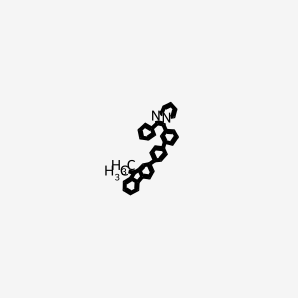 CC1(C)c2ccccc2-c2ccc(-c3ccc(-c4cccc(-c5c(-c6ccccc6)nc6ccccn56)c4)cc3)cc21